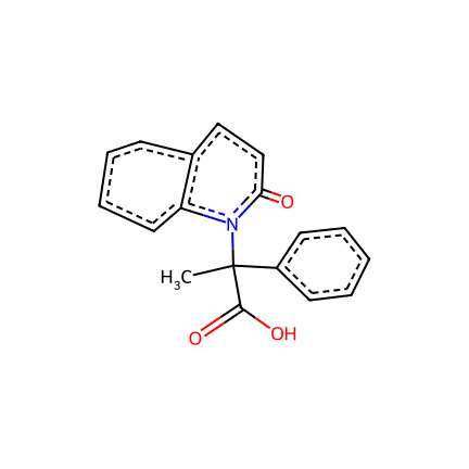 CC(C(=O)O)(c1ccccc1)n1c(=O)ccc2ccccc21